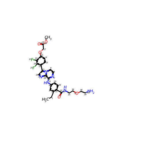 CCc1cc(Nc2nccn3c(-c4ccc(OCC(=O)OC)c(F)c4F)cnc23)ccc1C(=O)NCCOCCN